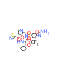 Nc1nc2ccc(S(=O)(=O)N(Cc3ccccn3)CC(OC(=O)C(F)(F)F)C(Cc3ccccc3)NC(=O)OCc3cncs3)cc2o1